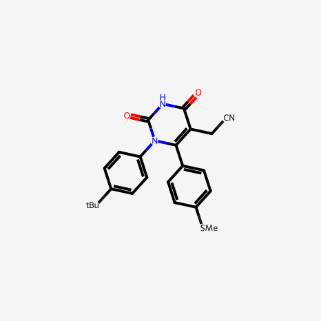 CSc1ccc(-c2c(CC#N)c(=O)[nH]c(=O)n2-c2ccc(C(C)(C)C)cc2)cc1